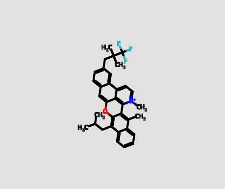 Cc1c2c(c(CC(C)C)c3ccccc13)Oc1cc3ccc(CC(C)(C)C(F)(F)F)cc3c3cc[n+](C)c-2c13